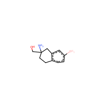 Bc1ccc2c(c1)CC(N)(CO)CC2